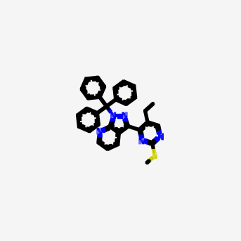 CCc1cnc(SC)nc1-c1nn(C(c2ccccc2)(c2ccccc2)c2ccccc2)c2ncccc12